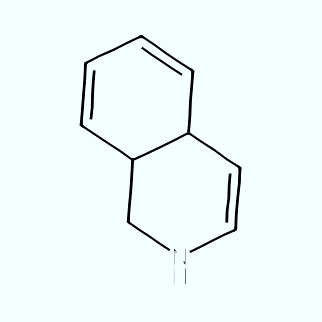 C1=CC2C=CNCC2C=C1